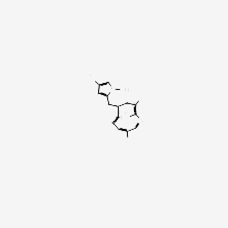 CC1=C/C=C/C(Cc2cc(C)cn2C)C/C(C)=C(C)/N=C\1